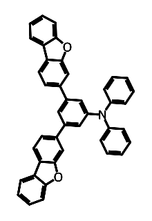 c1ccc(N(c2ccccc2)c2cc(-c3ccc4c(c3)oc3ccccc34)cc(-c3ccc4c(c3)oc3ccccc34)c2)cc1